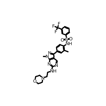 Cc1cc(-c2nn(C)c3nc(NCCN4CCOCC4)ncc23)ccc1NS(=O)(=O)c1cccc(C(F)(F)F)c1